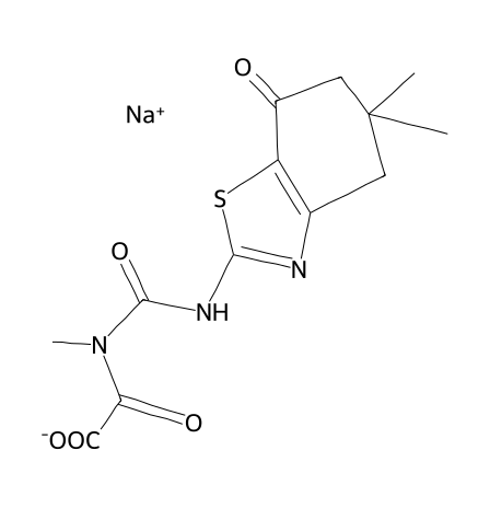 CN(C(=O)Nc1nc2c(s1)C(=O)CC(C)(C)C2)C(=O)C(=O)[O-].[Na+]